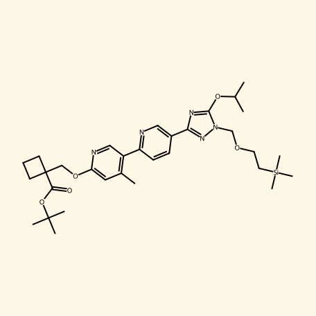 Cc1cc(OCC2(C(=O)OC(C)(C)C)CCC2)ncc1-c1ccc(-c2nc(OC(C)C)n(COCC[Si](C)(C)C)n2)cn1